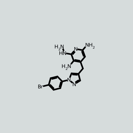 NNc1nc(N)cc(Cc2cnn(-c3ccc(Br)cc3)c2)c1N